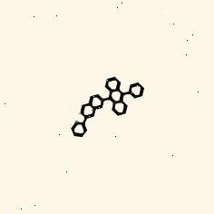 c1ccc(-c2c3ccccc3c(-c3ccc4cc5oc6ccccc6c5cc4c3)c3ccccc23)cc1